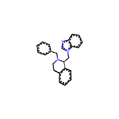 c1ccc(CN2CCc3ccccc3C2Cn2cnc3ccccc32)cc1